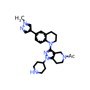 CC(=O)N1CCc2c(c(N3CCCc4cc(-c5cnn(C)c5)ccc43)nn2C2CCNCC2)C1